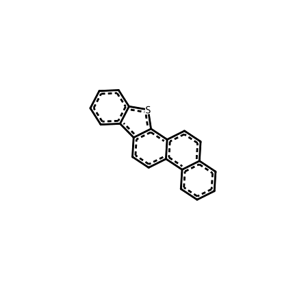 c1ccc2c(c1)ccc1c2ccc2c3ccccc3sc21